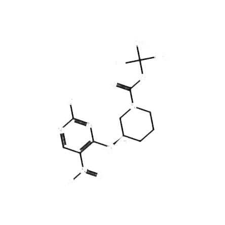 CC(C)(C)OC(=O)N1CCC[C@@H](Nc2nc(Cl)ncc2[N+](=O)[O-])C1